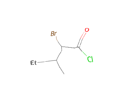 CCC(C)C(Br)C(=O)Cl